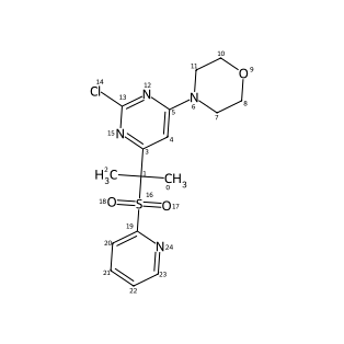 CC(C)(c1cc(N2CCOCC2)nc(Cl)n1)S(=O)(=O)c1ccccn1